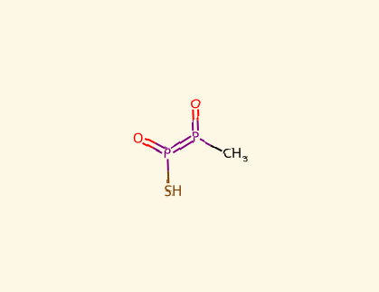 CP(=O)=P(=O)S